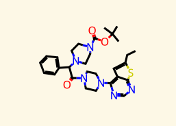 CCc1cc2c(N3CCN(C(=O)C(c4ccccc4)N4CCN(C(=O)OC(C)(C)C)CC4)CC3)ncnc2s1